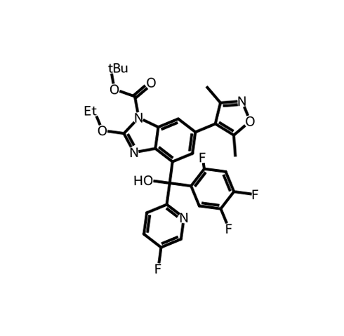 CCOc1nc2c(C(O)(c3ccc(F)cn3)c3cc(F)c(F)cc3F)cc(-c3c(C)noc3C)cc2n1C(=O)OC(C)(C)C